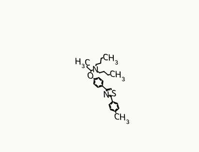 CCCCN(CCCC)C(CC)Oc1ccc(-c2csc(-c3ccc(C)cc3)n2)cc1